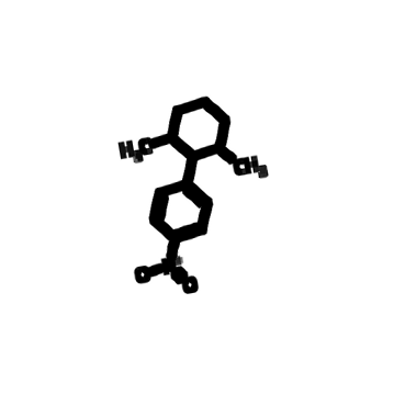 CC1CCCC(C)C1c1ccc([N+](=O)[O-])cc1